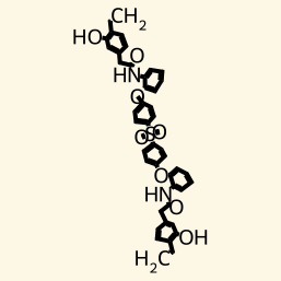 C=Cc1ccc(CC(=O)Nc2ccccc2Oc2ccc(S(=O)(=O)c3ccc(Oc4ccccc4NC(=O)Cc4ccc(C=C)c(O)c4)cc3)cc2)cc1O